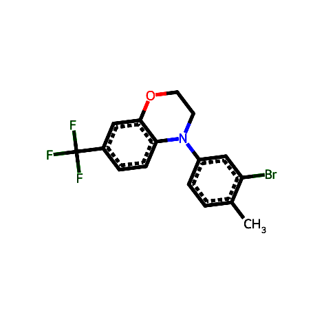 Cc1ccc(N2CCOc3cc(C(F)(F)F)ccc32)cc1Br